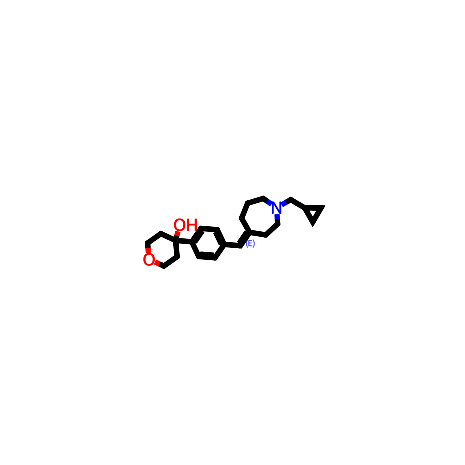 OC1(c2ccc(/C=C3\CCCN(CC4CC4)CC3)cc2)CCOCC1